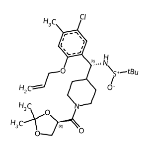 C=CCOc1cc(C)c(Cl)cc1[C@H](N[S+]([O-])C(C)(C)C)C1CCN(C(=O)[C@H]2COC(C)(C)O2)CC1